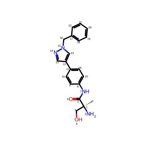 C[C@](N)(CO)C(=O)Nc1ccc(-c2cnn(Cc3ccccc3)c2)cc1